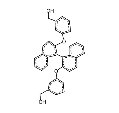 OCc1cccc(Oc2ccc3ccccc3c2-c2c(Oc3cccc(CO)c3)ccc3ccccc23)c1